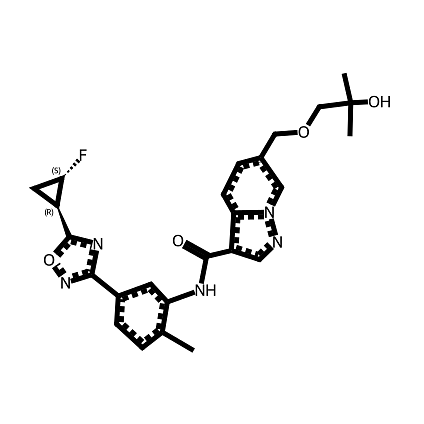 Cc1ccc(-c2noc([C@H]3C[C@@H]3F)n2)cc1NC(=O)c1cnn2cc(COCC(C)(C)O)ccc12